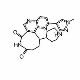 Cn1cc(-c2ccc3ncc4c(c3n2)C(C2CCNCC2)CCC(=O)NC4=O)cn1